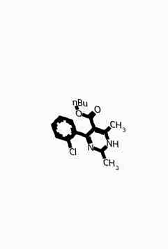 CCCCOC(=O)C1=C(C)NC(C)N=C1c1ccccc1Cl